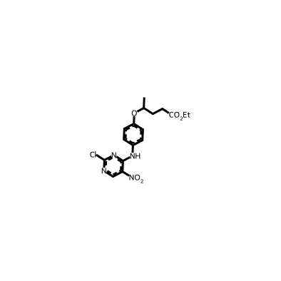 CCOC(=O)CCC(C)Oc1ccc(Nc2nc(Cl)ncc2[N+](=O)[O-])cc1